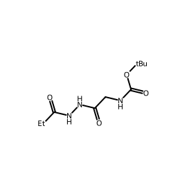 CCC(=O)NNC(=O)CNC(=O)OC(C)(C)C